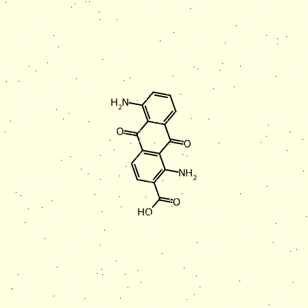 Nc1cccc2c1C(=O)c1ccc(C(=O)O)c(N)c1C2=O